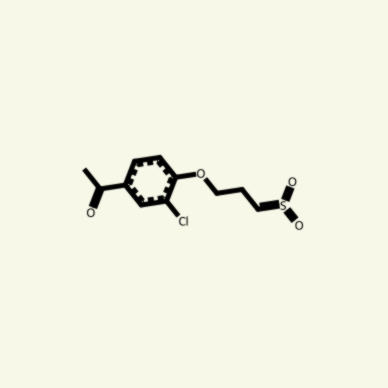 CC(=O)c1ccc(OCCC=S(=O)=O)c(Cl)c1